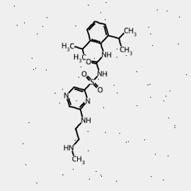 CNCCNc1cncc(S(=O)(=O)NC(=O)Nc2c(C(C)C)cccc2C(C)C)n1